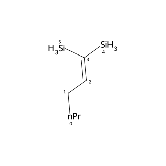 CCCCC=C([SiH3])[SiH3]